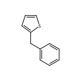 c1ccc(Cc2cccs2)cc1